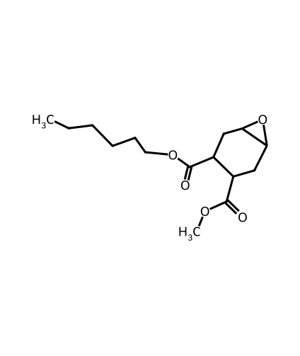 CCCCCCOC(=O)C1CC2OC2CC1C(=O)OC